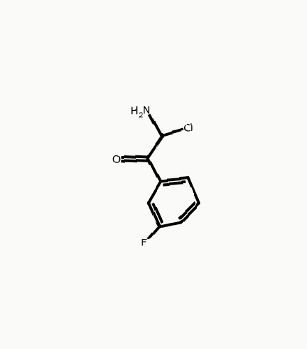 NC(Cl)C(=O)c1cccc(F)c1